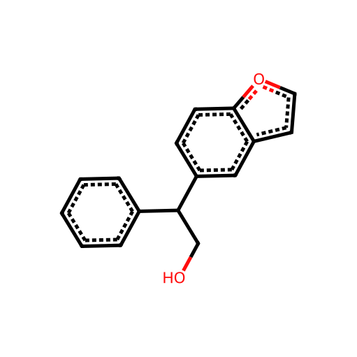 OCC(c1ccccc1)c1ccc2occc2c1